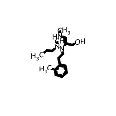 CCCN(C)N(CCc1ccccc1C)/C(=C\NC)CO